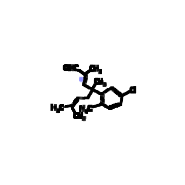 CC(C)=CCC(C)(/C=C(\C)C=O)c1cc(Cl)ccc1C